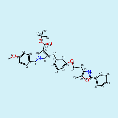 COc1ccc(CN2CC(Cc3cccc(OCCc4nc(-c5ccccc5)oc4C)c3)=C(C(=O)OC(C)(C)C)C2)cc1